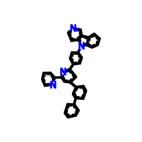 c1ccc(-c2cccc(-c3cc(-c4ccc(-n5c6ccccc6c6cnccc65)cc4)nc(-c4ccccn4)c3)c2)cc1